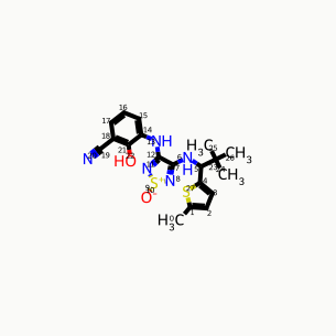 Cc1ccc(C(Nc2n[s+]([O-])nc2Nc2cccc(C#N)c2O)C(C)(C)C)s1